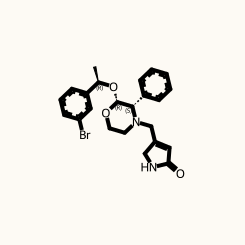 C[C@@H](O[C@H]1OCCN(CC2=CC(=O)NC2)[C@H]1c1ccccc1)c1cccc(Br)c1